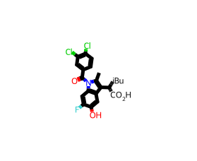 CCC(C)C(C(=O)O)c1c(C)n(C(=O)c2ccc(Cl)c(Cl)c2)c2cc(F)c(O)cc12